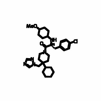 COC1CCC(N[C@H](Cc2ccc(Cl)cc2)C(=O)N2CCC(Cn3cncn3)(C3CCCCC3)CC2)CC1